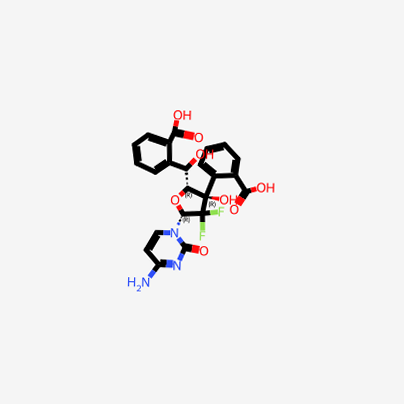 Nc1ccn([C@@H]2O[C@H](C(O)c3ccccc3C(=O)O)[C@](O)(c3ccccc3C(=O)O)C2(F)F)c(=O)n1